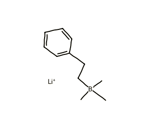 C[B-](C)(C)CCc1ccccc1.[Li+]